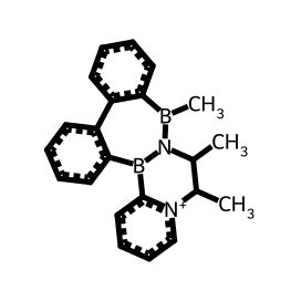 CB1c2ccccc2-c2ccccc2B2c3cccc[n+]3C(C)C(C)N12